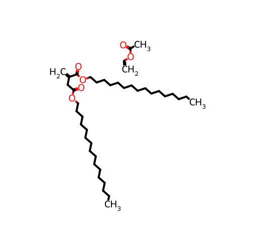 C=C(CC(=O)OCCCCCCCCCCCCCCCC)C(=O)OCCCCCCCCCCCCCCCC.C=COC(C)=O